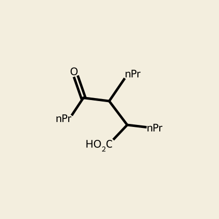 CCCC(=O)C(CCC)C(CCC)C(=O)O